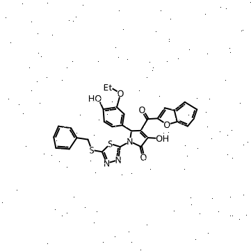 CCOc1cc(C2C(C(=O)c3cc4ccccc4o3)=C(O)C(=O)N2c2nnc(SCc3ccccc3)s2)ccc1O